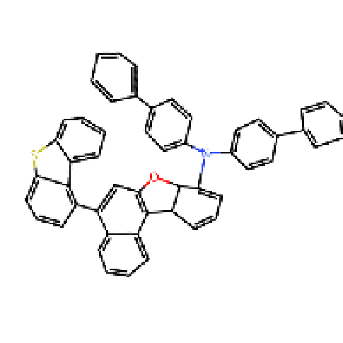 C1=CC2c3c(cc(-c4cccc5sc6ccccc6c45)c4ccccc34)OC2C(N(c2ccc(-c3ccccc3)cc2)c2ccc(-c3ccccc3)cc2)=C1